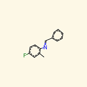 Cc1cc(F)ccc1N=Cc1ccccc1